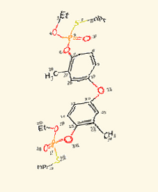 CCCSP(=O)(OCC)Oc1ccc(Oc2ccc(OP(=O)(OCC)SCCC)c(C)c2)cc1C